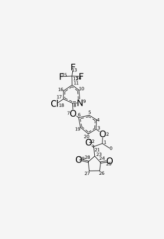 CC(Oc1ccc(Oc2ncc(C(F)(F)F)cc2Cl)cc1)C(=O)C1C(=O)CCC1=O